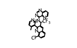 Cc1ccncc1-c1nc2c(Cl)cccc2cc1[C@@H](Nc1ncnc2cccnc12)C(F)(F)F